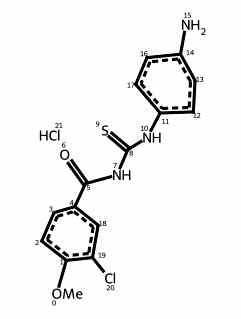 COc1ccc(C(=O)NC(=S)Nc2ccc(N)cc2)cc1Cl.Cl